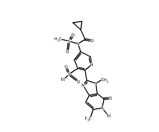 CCn1c(C(F)(F)F)cc2nc(-c3ncc(N(C(=O)C4CC4)S(C)(=O)=O)cc3S(=O)(=O)CC)n(C)c2c1=O